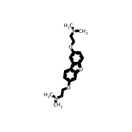 CN(C)CCOc1ccc2c(c1)oc1ccc(OCCN(C)C)cc12